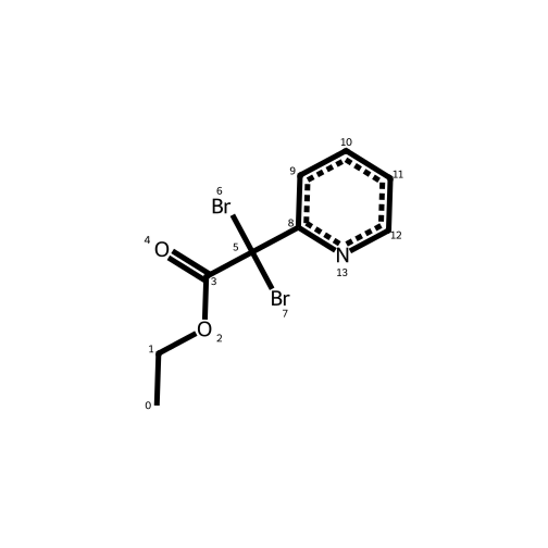 CCOC(=O)C(Br)(Br)c1ccccn1